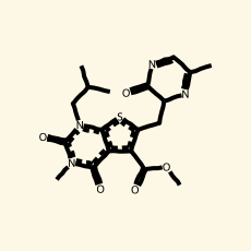 COC(=O)c1c(CC2N=C(C)C=NC2=O)sc2c1c(=O)n(C)c(=O)n2CC(C)C